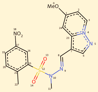 COc1ccn2ncc(C=NN(C)S(=O)(=O)c3cc([N+](=O)[O-])ccc3C)c2c1